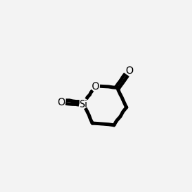 O=C1CCC[Si](=O)O1